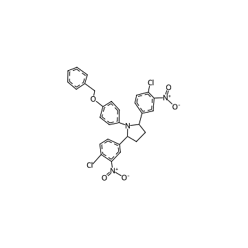 O=[N+]([O-])c1cc(C2CCC(c3ccc(Cl)c([N+](=O)[O-])c3)N2c2ccc(OCc3ccccc3)cc2)ccc1Cl